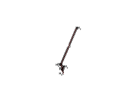 CCCC[C@H]1CCc2nc(NC(=O)[C@H](CCC(N)=O)NC(=O)CCCC(=O)C[C@@H](C)C(=O)NCCOCCOCCOCCOCCOCCOCCOCCOCCOCCOCCOCCOCCC(=O)CCCOCCOCCOCCOCCOCCOCCOCCOCCOCCOCCOCCOCCC(N)=O)sc2C1